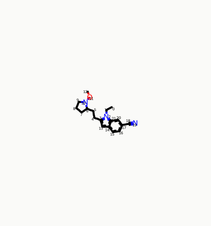 CCn1c(CCC2CCCN2OC)cc2ccc(C#N)cc21